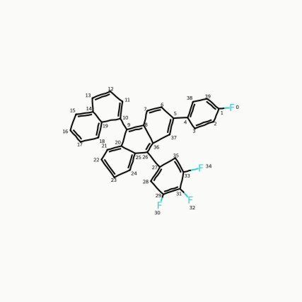 Fc1ccc(-c2ccc3c(-c4cccc5ccccc45)c4ccccc4c(-c4cc(F)c(F)c(F)c4)c3c2)cc1